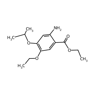 CCOC(=O)c1cc(OCC)c(OC(C)C)cc1N